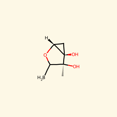 BC1O[C@@H]2C[C@]2(O)[C@@]1(C)O